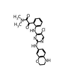 CN(C)C(=O)C(=O)c1ccccc1Nc1nc(Nc2ccc3c(c2)OCCN3)ncc1Cl